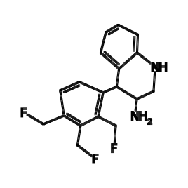 NC1CNc2ccccc2C1c1ccc(CF)c(CF)c1CF